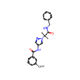 COc1cccc(C(=O)Nc2cnn(C(C)(C)C(=O)NCc3ccccc3)c2)c1